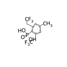 Cc1cc(CC(F)(F)F)c(P(=O)(O)O)c(CC(F)(F)F)c1